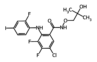 CC(C)(O)CONC(=O)c1cc(Cl)c(F)c(F)c1Nc1ccc(I)cc1F